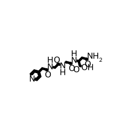 NC(=O)CC(NC(=O)CNC(=O)CNC(=O)Cc1ccncc1)C(=O)O